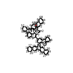 C=C(C)C(/N=C(\C(C)=C(/C)c1cc(-n2c3cc4ccccc4cc3c3cc4ccccc4cc32)c2oc3ccccc3c2c1)c1cccc2c3ccccc3n(-c3ccccc3)c12)c1ccc2ccccc2c1